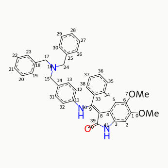 COc1cc2c(cc1OC)/C(=C(/Nc1ccc(CN(Cc3ccccc3)Cc3ccccc3)cc1)c1ccccc1)C(=O)N2